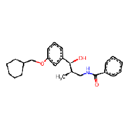 C[C@H](CNC(=O)c1ccccc1)[C@H](O)c1cccc(OCC2CCCCC2)c1